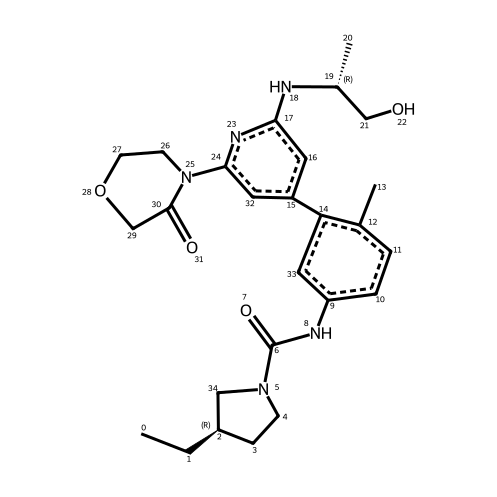 CC[C@@H]1CCN(C(=O)Nc2ccc(C)c(-c3cc(N[C@H](C)CO)nc(N4CCOCC4=O)c3)c2)C1